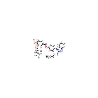 CCCCc1nc2ccccc2n1-c1ccc(OCc2ccc(OC)c(OC3CC4CCC3C4)c2)cc1